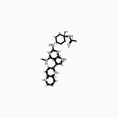 CNc1nc(N[C@H]2CC[C@@](C)(NC(C)=O)CC2)nc2[nH]cc(-c3ccc4ncccc4n3)c12